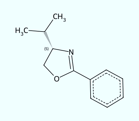 CC(C)[C@H]1COC(c2ccccc2)=N1